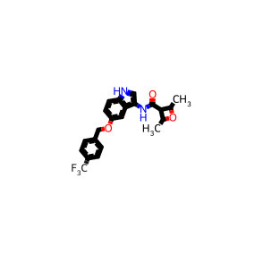 CC1OC(C)C1C(=O)Nc1c[nH]c2ccc(OCc3ccc(C(F)(F)F)cc3)cc12